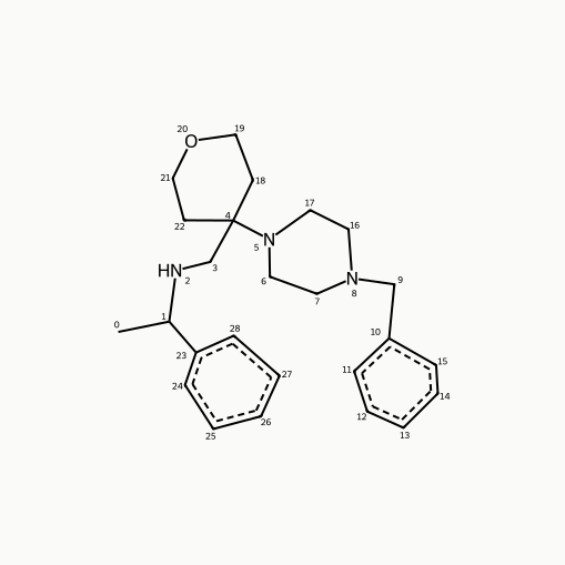 CC(NCC1(N2CCN(Cc3ccccc3)CC2)CCOCC1)c1ccccc1